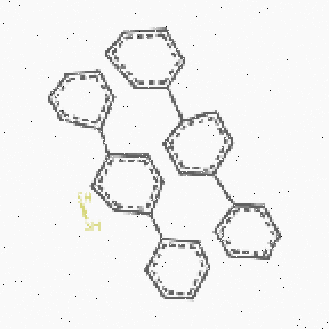 SS.c1ccc(-c2ccc(-c3ccccc3)cc2)cc1.c1ccc(-c2ccc(-c3ccccc3)cc2)cc1